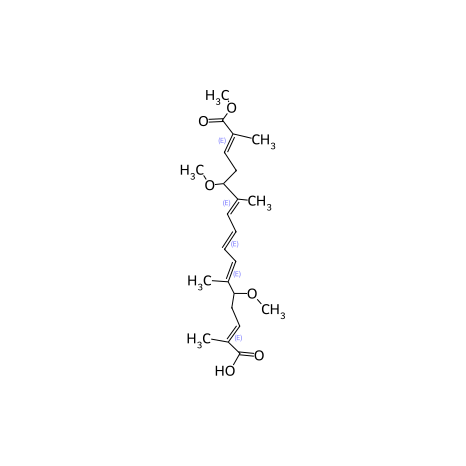 COC(=O)/C(C)=C/CC(OC)/C(C)=C/C=C/C=C(\C)C(C/C=C(\C)C(=O)O)OC